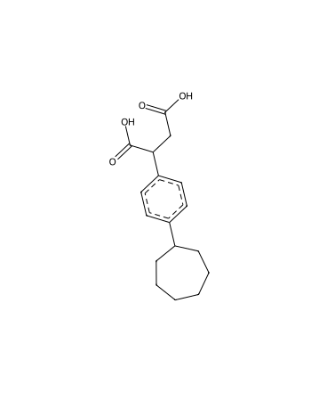 O=C(O)CC(C(=O)O)c1ccc(C2CCCCCC2)cc1